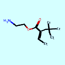 CCC=C(C(=O)OCCN)C(CC)(CC)CC